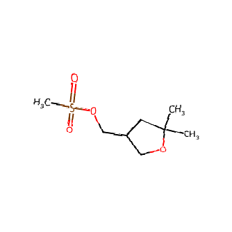 CC1(C)CC(COS(C)(=O)=O)CO1